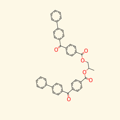 CC(COC(=O)c1ccc(C(=O)c2ccc(-c3ccccc3)cc2)cc1)OC(=O)c1ccc(C(=O)c2ccc(-c3ccccc3)cc2)cc1